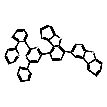 c1ccc(-c2cc(-c3ccc(-c4ccc5sc6ccccc6c5c4)c4oc5ccccc5c34)nc(-c3ccccc3-c3ccccn3)n2)cc1